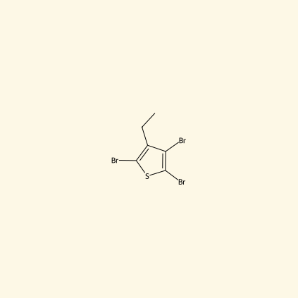 CCc1c(Br)sc(Br)c1Br